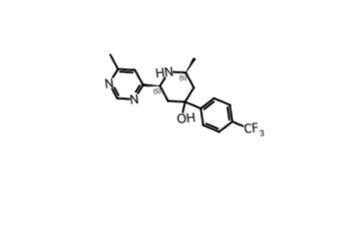 Cc1cc([C@@H]2CC(O)(c3ccc(C(F)(F)F)cc3)C[C@H](C)N2)ncn1